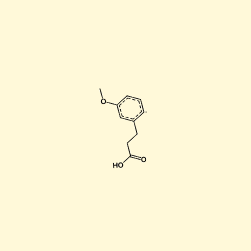 COc1cc[c]c(CCC(=O)O)c1